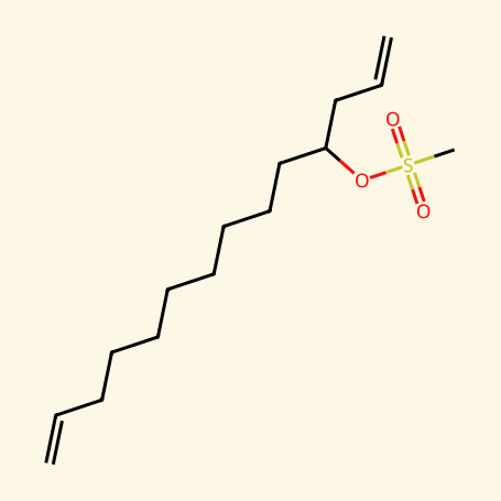 C=CCCCCCCCCC(CC=C)OS(C)(=O)=O